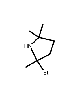 CCC1(C)CCC(C)(C)N1